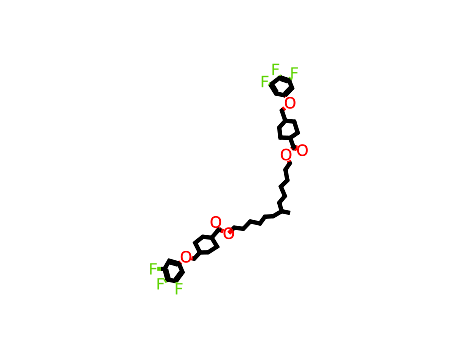 CC(CCCCCCOC(=O)C1CCC(COc2cc(F)c(F)c(F)c2)CC1)CCCCCCOC(=O)C1CCC(COc2cc(F)c(F)c(F)c2)CC1